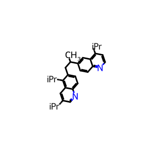 CC(C)c1cnc2ccc(CC(C)c3ccc4nccc(C(C)C)c4c3)c(C(C)C)c2c1